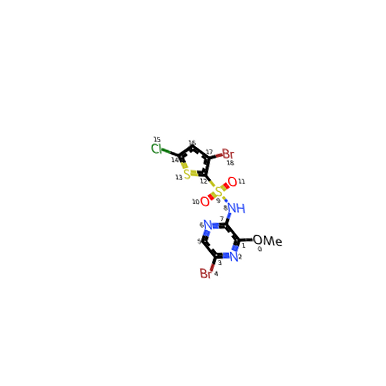 COc1nc(Br)cnc1NS(=O)(=O)c1sc(Cl)cc1Br